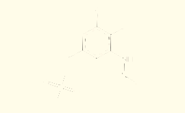 ClNNc1cc(Cl)cc(Cl)c1Cl.O=S(=O)(O)O